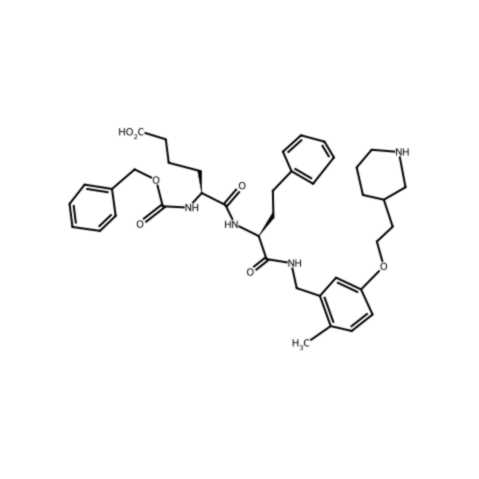 Cc1ccc(OCCC2CCCNC2)cc1CNC(=O)[C@H](CCc1ccccc1)NC(=O)[C@H](CCCC(=O)O)NC(=O)OCc1ccccc1